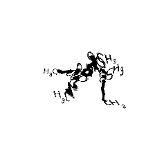 CCCCCOC(=O)OC(C)CN[C@@H](Cc1ccc(OC(=O)OCCCC)c(OC(=O)OCCCC)c1)C(=O)OC